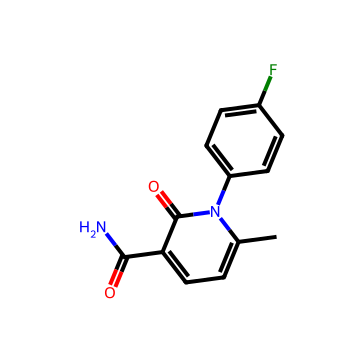 Cc1ccc(C(N)=O)c(=O)n1-c1ccc(F)cc1